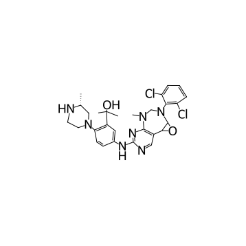 C[C@@H]1CN(c2ccc(Nc3ncc4c(n3)N(C)CN(c3c(Cl)cccc3Cl)C3OC43)cc2C(C)(C)O)CCN1